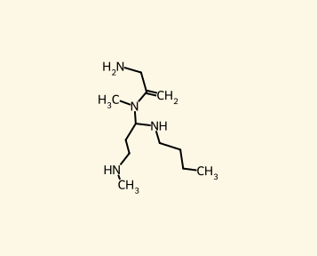 C=C(CN)N(C)C(CCNC)NCCCC